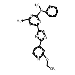 CN(c1ccccc1)c1nc(N)nc(-c2noc(-c3ccnc(OCC(F)(F)F)c3)n2)n1